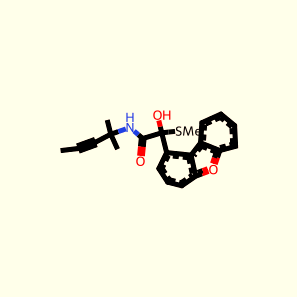 CC#CC(C)(C)NC(=O)C(O)(SC)c1cccc2oc3ccccc3c12